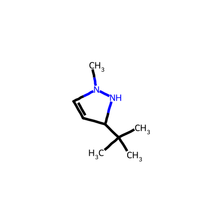 CN1C=CC(C(C)(C)C)N1